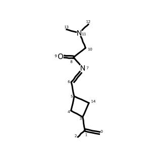 C=C(C)C1CC(/C=N/C(=O)CN(C)C)C1